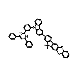 CC1(C)c2cc(-c3ccc4c(c3)c3ccccc3n4-c3cccc(-c4nc(-c5ccccc5)cc(-c5ccccc5)n4)c3)ccc2-c2cc3c(cc21)Sc1ccccc1S3